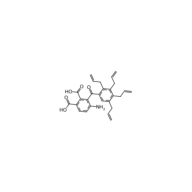 C=CCc1cc(C(=O)c2c(N)ccc(C(=O)O)c2C(=O)O)c(CC=C)c(CC=C)c1CC=C